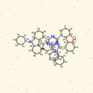 c1ccc(-c2nc(-c3cccc4oc5cccc(-c6nc7ccccc7n6-c6ccccc6)c5c34)nc(-c3cccc4c3c3ccccc3n4-c3ccccc3)n2)cc1